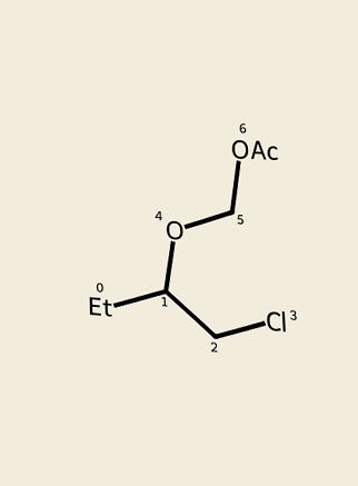 CCC(CCl)OCOC(C)=O